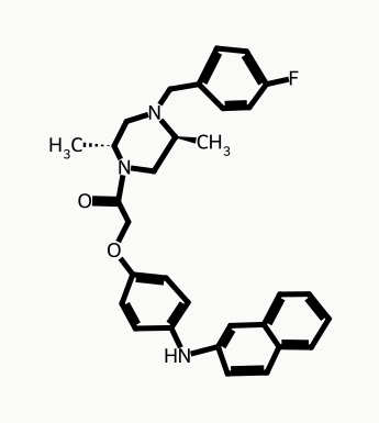 C[C@@H]1CN(Cc2ccc(F)cc2)[C@@H](C)CN1C(=O)COc1ccc(Nc2ccc3ccccc3c2)cc1